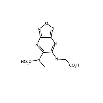 CN(C(=O)O)c1nc2nonc2nc1NCC(=O)O